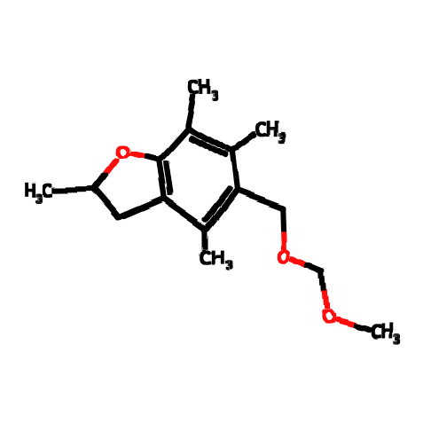 COCOCc1c(C)c(C)c2c(c1C)CC(C)O2